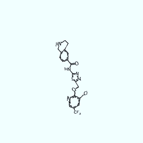 O=C(Nc1nnc(COc2ncc(C(F)(F)F)cc2Cl)s1)c1ccc2c(c1)CCNC2